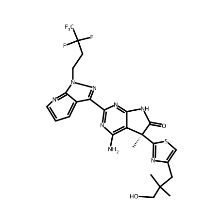 CC(C)(CO)Cc1csc([C@]2(C)C(=O)Nc3nc(-c4nn(CCC(F)(F)C(F)(F)F)c5ncccc45)nc(N)c32)n1